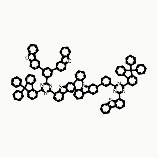 c1ccc(C2(c3ccccc3)c3ccccc3-c3c(-c4nc(-c5cccc(-c6ccc7c8ccccc8n(-c8ccccc8-c8ccc9c(c8)sc8c(-c%10nc(-c%11cc(-c%12ccc%13oc%14ccccc%14c%13c%12)cc(-c%12ccc%13oc%14ccccc%14c%13c%12)c%11)nc(-c%11cccc%12c%11-c%11ccccc%11C%12(c%11ccccc%11)c%11ccccc%11)n%10)cccc89)c7c6)c5)nc(-c5cccc6c5sc5ccccc56)n4)cccc32)cc1